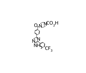 Nc1ncc(-c2ccc(C(=O)N3CCN(C(=O)O)CC3)cc2)nc1-c1ccc(C(F)(F)F)cc1